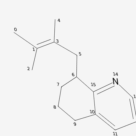 CC(C)=C(C)CC1CCCc2cccnc21